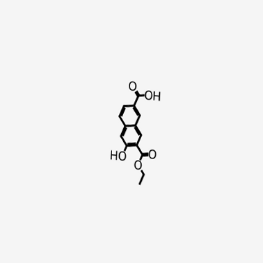 CCOC(=O)c1cc2cc(C(=O)O)ccc2cc1O